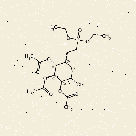 CCOP(=O)(CC[C@H]1OC(O)[C@@H](OC(C)=O)[C@@H](OC(C)=O)[C@@H]1OC(C)=O)OCC